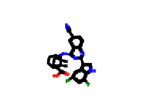 N#Cc1ccc2nc(-c3c[nH]c4c(F)cc(F)cc34)nc(N[C@H]3C4CCC(CC4)[C@@H]3C(=O)O)c2c1